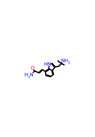 CC(C)(N)Cc1c[nH]c2c(/C=C/C(N)=O)cccc12